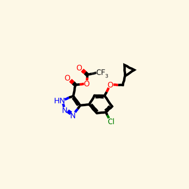 O=C(OC(=O)C(F)(F)F)c1[nH]nnc1-c1cc(Cl)cc(OCC2CC2)c1